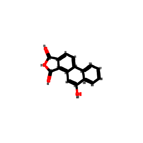 O=C1OC(=O)c2c1ccc1c2cc(O)c2ccccc21